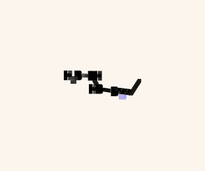 BBB/B=C/C